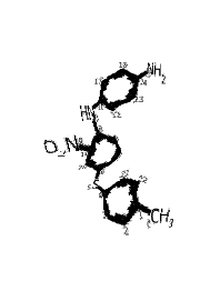 Cc1ccc(Sc2ccc(Nc3ccc(N)cc3)c([N+](=O)[O-])c2)cc1